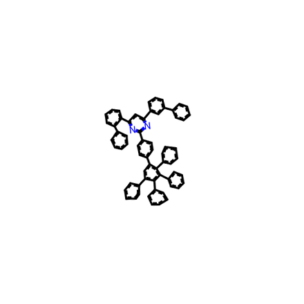 c1ccc(-c2cccc(-c3cc(-c4ccccc4-c4ccccc4)nc(-c4ccc(-c5cc(-c6ccccc6)c(-c6ccccc6)c(-c6ccccc6)c5-c5ccccc5)cc4)n3)c2)cc1